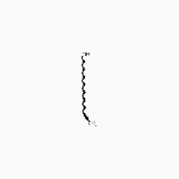 CC#CCCCCCCCCCCCCCCCO